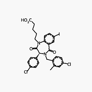 Cc1cc(Cl)ccc1CN1C(=O)c2cc(I)ccc2N(CCCCC(=O)O)C(=O)[C@@H]1c1ccc(Cl)cc1